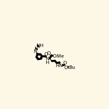 COC(=O)[C@@H](CCCCNC(=O)OC(C)(C)C)NC(=O)c1cccc(N=[N+]=N)c1